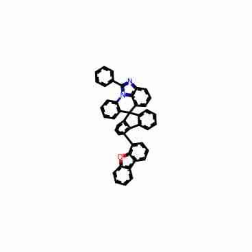 c1ccc(-c2nc3cccc4c3n2-c2ccccc2C42c3ccccc3-c3c(-c4cccc5c4oc4ccccc45)cccc32)cc1